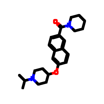 CC(C)N1CCC(Oc2ccc3cc(C(=O)N4CCCCC4)ccc3c2)CC1